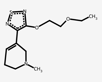 CCOCCOc1nsnc1C1=CCCN(C)C1